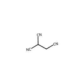 N#CC[C](C#N)C#N